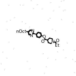 CCCCCCCCc1cnc(-c2ccc(OC(=O)C3CCN(C(=O)CC)CC3)cc2)nc1